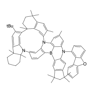 Cc1cc2c3c(c1)N(c1cccc4oc5ccccc5c14)c1cc4c(cc1B3c1ccc3cc1N2c1cc2c(cc1C)C(C)(C)CCC2(C)c1cc2c(cc1C(C)(C)C)C1(C)CCCCC1(C)N32)C(C)(C)CC4(C)C